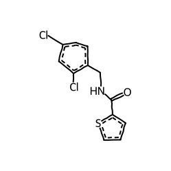 O=C(NCc1ccc(Cl)cc1Cl)c1cccs1